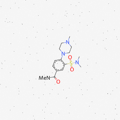 CNC(=O)c1ccc(N2CCN(C)CC2)c(S(=O)(=O)N(C)C)c1